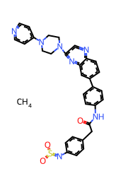 C.O=C(Cc1ccc(N=S(=O)=O)cc1)Nc1ccc(-c2ccc3ncc(N4CCN(c5ccncc5)CC4)nc3c2)cc1